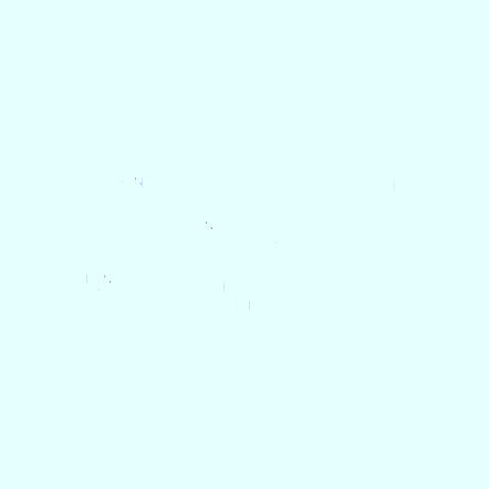 Cc1ccc(OCCN2CCC(N)C(OC(N)=O)C2)cc1.Cl.Cl